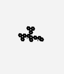 c1ccc2nc(-c3ccc(-c4cc5c(-c6ccc7c8ccccc8c8ccccc8c7c6)cc(-c6ccc7c8ccccc8c8ccccc8c7c6)nc5c5ccccc45)cc3)ccc2c1